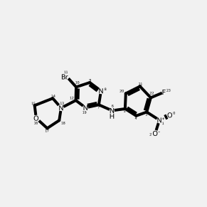 O=[N+]([O-])c1cc(Nc2ncc(Br)c(N3CCOCC3)n2)ccc1F